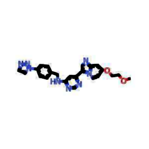 COCCOc1ccn2c(-c3cc(NCc4ccc(-n5ccnn5)cc4)ncn3)cnc2c1